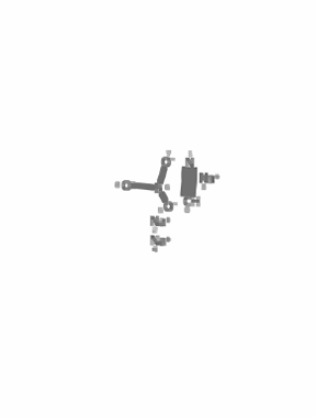 C#N.[Na+].[Na+].[Na+].[O-]B([O-])[O-]